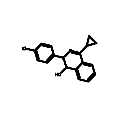 OB1c2ccccc2C(C2CC2)=NN1c1ccc(Cl)cc1